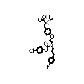 CCOC(Cc1ccc(OCCN(CCCc2ccc(F)cc2)C(=O)Oc2ccc(Cl)cc2)cc1)C(=O)O